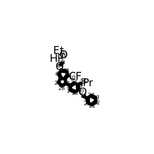 CCOPCOc1cc2c(c(C(F)(F)F)c1)C(c1ccc(OCc3ccccc3)c(C(C)C)c1)CC2